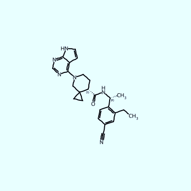 CCc1cc(C#N)ccc1[C@@H](C)NC(=O)[C@H]1CCN(c2ncnc3[nH]ccc23)CC12CC2